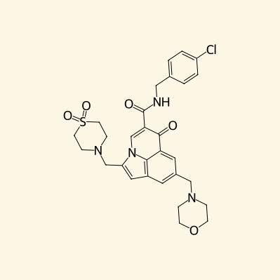 O=C(NCc1ccc(Cl)cc1)c1cn2c(CN3CCS(=O)(=O)CC3)cc3cc(CN4CCOCC4)cc(c1=O)c32